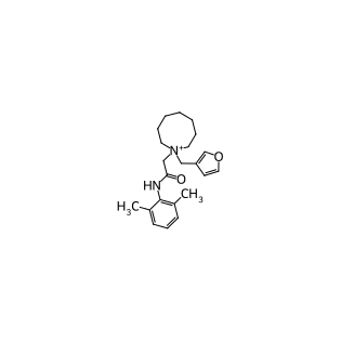 Cc1cccc(C)c1NC(=O)C[N+]1(Cc2ccoc2)CCCCCCC1